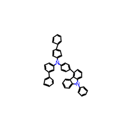 c1ccc(-c2ccc(N(c3ccc(-c4cccc5c4c4ccccc4n5-c4ccccc4)cc3)c3cccc(-c4ccccc4)c3)cc2)cc1